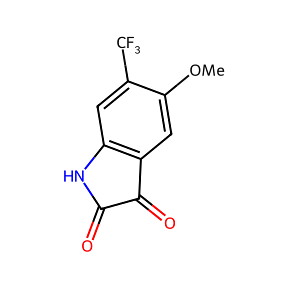 COc1cc2c(cc1C(F)(F)F)NC(=O)C2=O